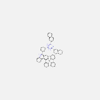 c1cc(-c2nc(-c3ccc4ccccc4c3)nc(-c3ccc4ccccc4c3)n2)cc(-c2nc3ccccc3c3c4c(ccc23)C2(c3ccccc3-c3ccccc32)c2ccccc2-4)c1